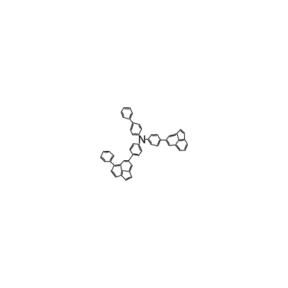 C1=Cc2cc(-c3ccc(N(c4ccc(-c5ccccc5)cc4)c4ccc(-c5cc6c7c(ccc(-c8ccccc8)c7c5)C=C6)cc4)cc3)cc3cccc1c23